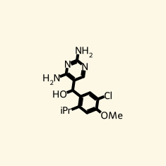 COc1cc(C(C)C)c(C(O)c2cnc(N)nc2N)cc1Cl